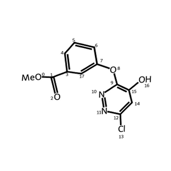 COC(=O)c1cccc(Oc2nnc(Cl)cc2O)c1